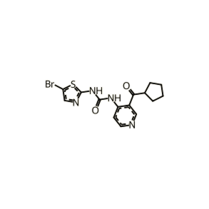 O=C(Nc1ncc(Br)s1)Nc1ccncc1C(=O)C1CCCC1